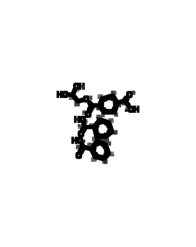 O=C(O)c1ccc(C(=O)OCC(O)O)cc1.O=C(O)c1ccccc1.O=C(O)c1ccccc1